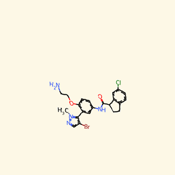 Cn1ncc(Br)c1-c1cc(NC(=O)C2CCc3ccc(Cl)cc32)ccc1OCCN